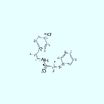 CC(CNC(=O)C(C)(C)Sc1ccccc1)c1ccc(Cl)cc1